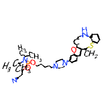 C=C1Sc2ccccc2NCCC2Oc3cc(N4CCN(CCCCCOP(OCCC#N)N(C(C)C)C(C)C)CC4)ccc3C=C12